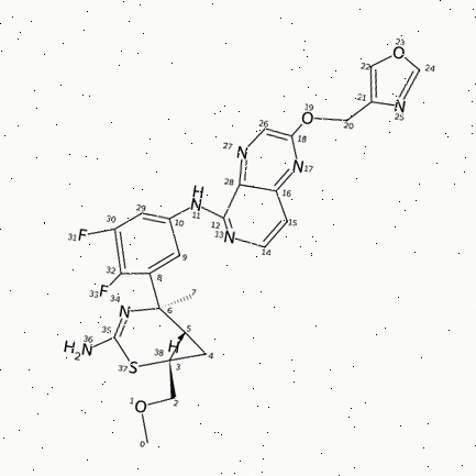 COC[C@]12C[C@H]1[C@](C)(c1cc(Nc3nccc4nc(OCc5cocn5)cnc34)cc(F)c1F)N=C(N)S2